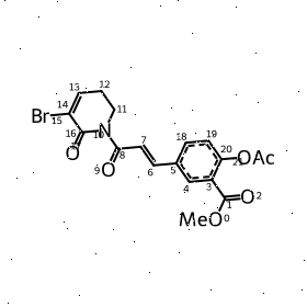 COC(=O)c1cc(/C=C/C(=O)N2CCC=C(Br)C2=O)ccc1OC(C)=O